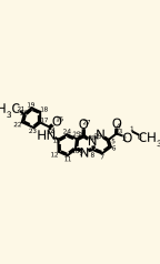 CCOC(=O)c1ccc2nc3ccc(NC(=O)c4ccc(C)cc4)cc3c(=O)n2n1